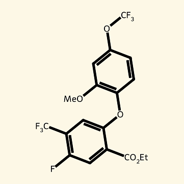 CCOC(=O)c1cc(F)c(C(F)(F)F)cc1Oc1ccc(OC(F)(F)F)cc1OC